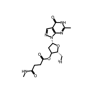 [2H]C[C@H]1O[C@@H](n2ncc3c(=O)[nH]c(C)nc32)CC1OC(=O)CCC(=O)NC